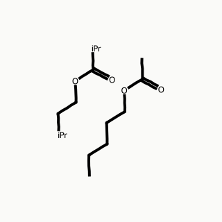 CC(C)CCOC(=O)C(C)C.CCCCCOC(C)=O